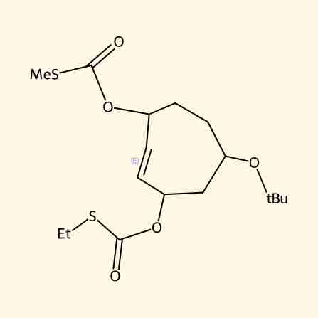 CCSC(=O)OC1/C=C/C(OC(=O)SC)CCC(OC(C)(C)C)C1